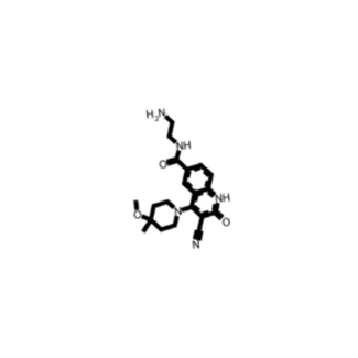 COC1(C)CCN(c2c(C#N)c(=O)[nH]c3ccc(C(=O)NCCN)cc23)CC1